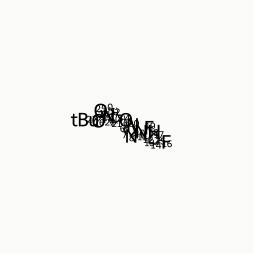 C[C@H]1C[C@@H](Oc2ccnc(NCc3ccc(F)cc3F)n2)CCN1C(=O)OC(C)(C)C